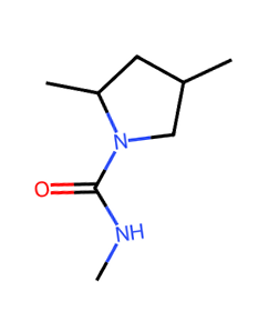 CNC(=O)N1CC(C)CC1C